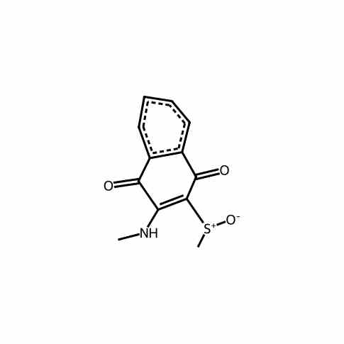 CNC1=C([S+](C)[O-])C(=O)c2ccccc2C1=O